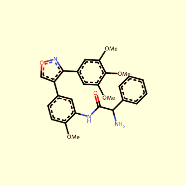 COc1ccc(-c2conc2-c2cc(OC)c(OC)c(OC)c2)cc1NC(=O)C(N)c1ccccc1